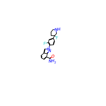 NC(=O)c1cccc2cn(-c3ccc([C@]4(F)CCCNC4)cc3F)nc12